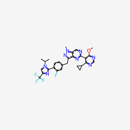 COc1ncnc(C2CC2)c1-c1ncc2c(n1)c(Cc1ccc(-c3nc(C(F)(F)F)cn3C(C)C)c(F)c1)nn2C